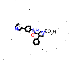 O=C(Nc1ccc(-c2cccnc2)cc1)C1CN(C(=O)O)CC1c1ccccc1